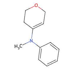 CN(C1=CCOCC1)c1ccccc1